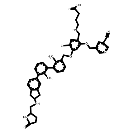 Cc1c(COc2cc(OCc3cncc(C#N)c3)c(CNCCCC(=O)O)cc2Cl)cccc1-c1cccc(-c2ccc3c(c2)CC(NCC2CCC(=O)N2)C3)c1C